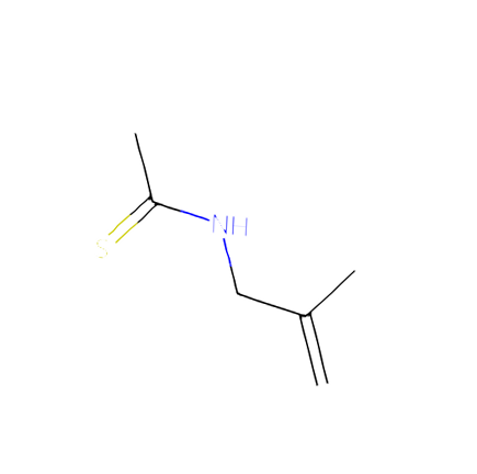 C=C(C)CNC(C)=S